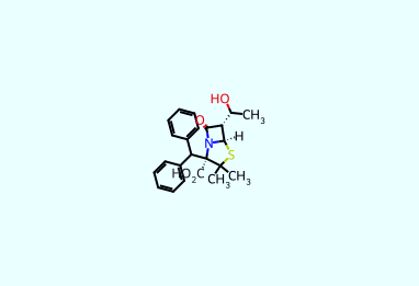 CC(O)[C@H]1C(=O)N2[C@@H]1SC(C)(C)[C@@]2(C(=O)O)C(c1ccccc1)c1ccccc1